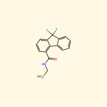 O=C(O)CNC(=O)c1cccc2c1-c1ccccc1C2(F)F